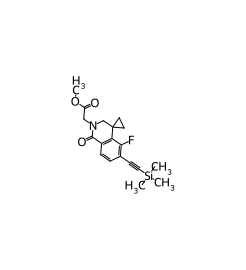 COC(=O)CN1CC2(CC2)c2c(ccc(C#C[Si](C)(C)C)c2F)C1=O